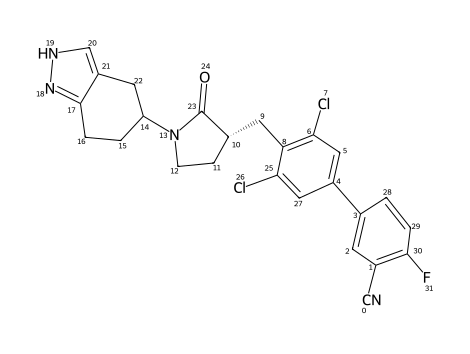 N#Cc1cc(-c2cc(Cl)c(C[C@@H]3CCN(C4CCc5n[nH]cc5C4)C3=O)c(Cl)c2)ccc1F